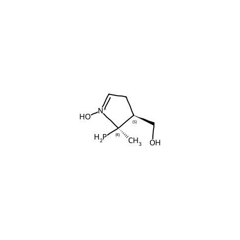 C[C@@]1(P)[C@H](CO)CC=[N+]1O